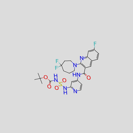 CC(C)(C)OC(=O)NS(=O)(=O)Nc1cc(NC(=O)c2cc3ccc(F)cc3nc2N2CCCC(F)(F)CC2)ccn1